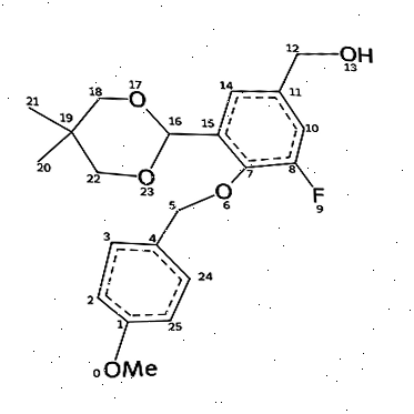 COc1ccc(COc2c(F)cc(CO)cc2C2OCC(C)(C)CO2)cc1